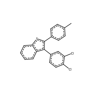 Cc1ccc(-c2sc3ccc[c]c3c2-c2ccc(Cl)c(Cl)c2)cc1